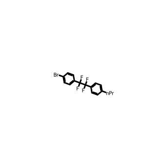 CCCc1ccc(C(F)(F)C(F)(F)c2ccc(Br)cc2)cc1